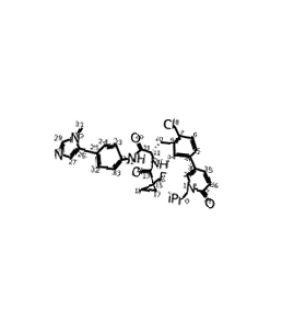 CC(C)n1cc(-c2ccc(Cl)c(C[C@H](NC(=O)C3(F)CC3)C(=O)Nc3ccc(-c4cncn4C)cc3)c2)ccc1=O